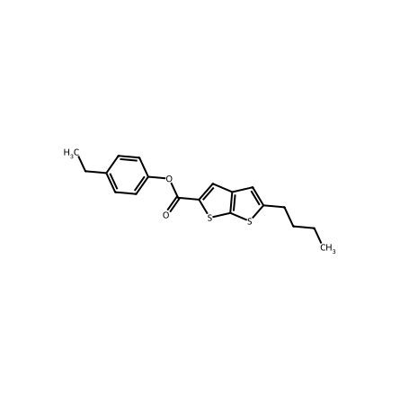 CCCCc1cc2cc(C(=O)Oc3ccc(CC)cc3)sc2s1